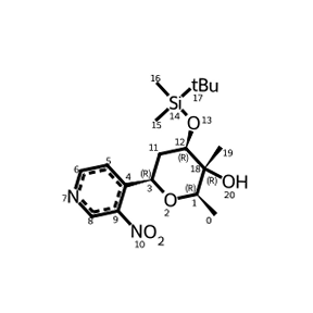 C[C@H]1O[C@@H](c2ccncc2[N+](=O)[O-])C[C@@H](O[Si](C)(C)C(C)(C)C)[C@]1(C)O